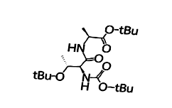 C[C@H](NC(=O)[C@@H](NC(=O)OC(C)(C)C)[C@@H](C)OC(C)(C)C)C(=O)OC(C)(C)C